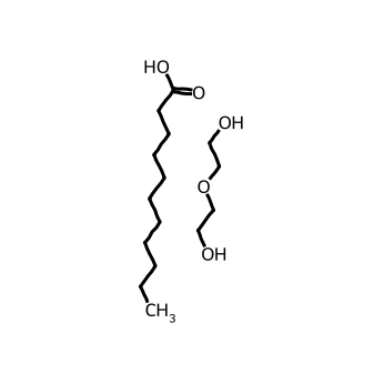 CCCCCCCCCCC(=O)O.OCCOCCO